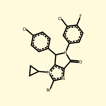 O=C1c2nc(Br)n(C3CC3)c2C(c2ccc(Cl)cc2)N1c1ccc(F)c(Cl)c1